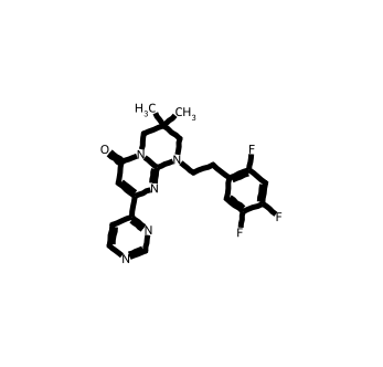 CC1(C)CN(CCc2cc(F)c(F)cc2F)c2nc(-c3ccncn3)cc(=O)n2C1